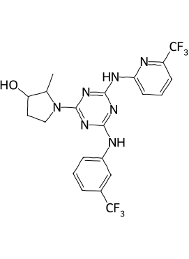 CC1C(O)CCN1c1nc(Nc2cccc(C(F)(F)F)c2)nc(Nc2cccc(C(F)(F)F)n2)n1